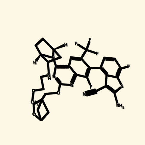 COCCNC1C[C@H]2CC[C@@H]1N2c1nc(OCC23COC(C2)C3)nc2c(F)c(-c3ccc(F)c4sc(N)c(C#N)c34)c(C(F)(F)F)cc12